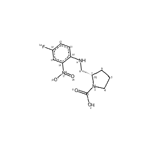 O=C(O)N1CCC[C@H]1CNc1ccc(F)cc1[N+](=O)[O-]